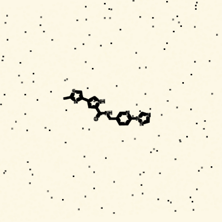 Cc1nc(-c2c[nH]c(C(=O)NCc3ccc(-n4cncn4)nc3)c2)cs1